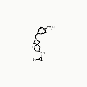 CC[C@@H]1C[C@H]1NC1COC2(C1)CN(Cc1ccc(C(=O)O)cc1)C2